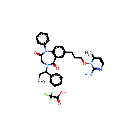 CC1C=CN=C(N)N1OCCCc1ccc2c(c1)C(=O)N(C(CC(=O)O)c1ccccc1)CC(=O)N2c1ccccc1.O=C(O)C(F)(F)F